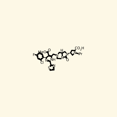 COC(=O)C1=C(CN2CCN3C(=O)N([C@H]4C[C@@H](C(=O)O)N(C(C)C)C4)C[C@@H]3C2)NC(c2nccs2)=N[C@H]1c1ccc(F)cc1Cl